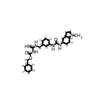 Cn1ccc2cc(NC(=O)Nc3cccc(CNC(=N)NC(=O)OCc4ccccc4)c3)ccc21